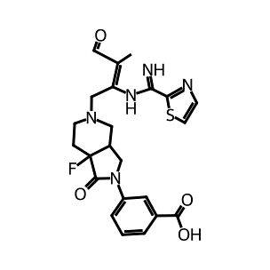 C/C(C=O)=C(/CN1CCC2(F)C(=O)N(c3cccc(C(=O)O)c3)CC2C1)NC(=N)c1nccs1